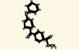 COC(=O)c1ccc(C(=O)c2ccc(Oc3ccccc3)cc2)cc1